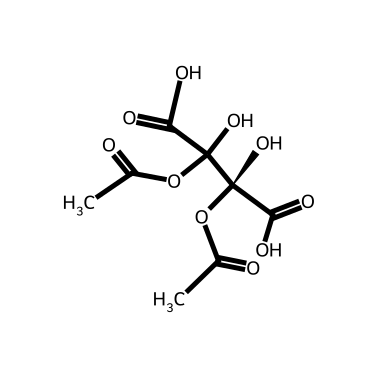 CC(=O)OC(O)(C(=O)O)[C@@](O)(OC(C)=O)C(=O)O